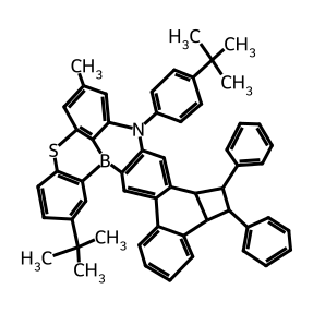 Cc1cc2c3c(c1)N(c1ccc(C(C)(C)C)cc1)c1cc4c(cc1B3c1cc(C(C)(C)C)ccc1S2)-c1ccccc1C1C(c2ccccc2)C(c2ccccc2)C41